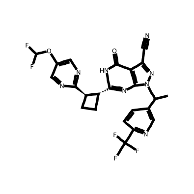 CC(c1ccc(C(F)(F)F)nc1)n1nc(C#N)c2c(=O)[nH]c([C@@H]3CC[C@H]3c3ncc(OC(F)F)cn3)nc21